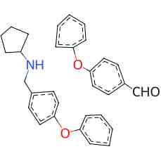 O=Cc1ccc(Oc2ccccc2)cc1.c1ccc(Oc2ccc(CNC3CCCC3)cc2)cc1